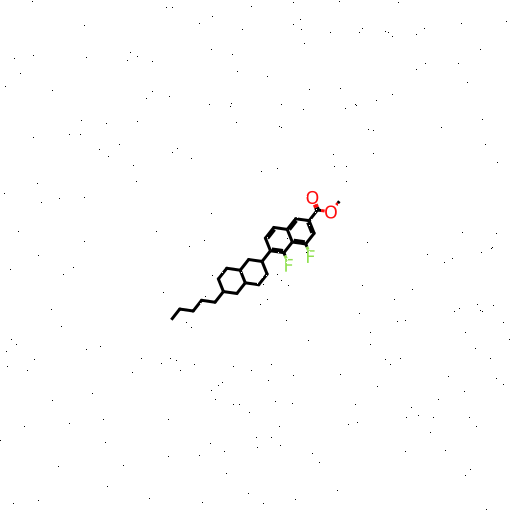 CCCCCC1CCC2CC(c3ccc4cc(C(=O)OC)cc(F)c4c3F)CCC2C1